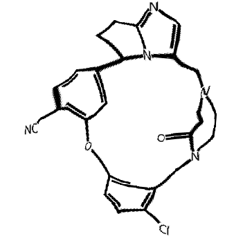 N#Cc1ccc2cc1Oc1ccc(Cl)c(c1)CN1CCN(CC1=O)Cc1cnc3n1C2CC3